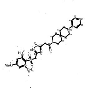 COc1cc(C)c(S(=O)(=O)Cc2noc(CC(=O)N3CCC4(CC3)CCN(c3ccncc3)CC4)n2)c(C)c1